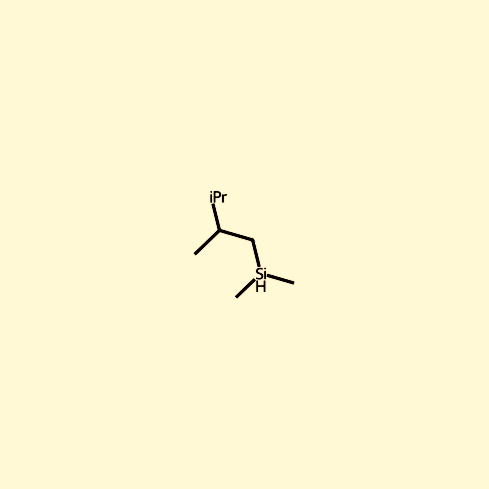 CC(C)C(C)C[SiH](C)C